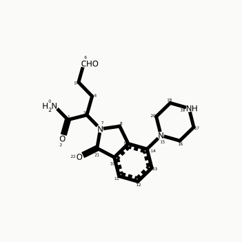 NC(=O)C(CCC=O)N1Cc2c(cccc2N2CCNCC2)C1=O